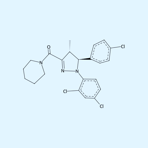 C[C@H]1C(C(=O)N2CCCCC2)=NN(c2ccc(Cl)cc2Cl)[C@@H]1c1ccc(Cl)cc1